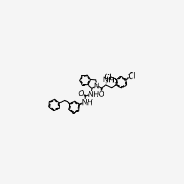 N[C@H](Cc1ccc(Cl)cc1Cl)C(=O)N1Cc2ccccc2C1NC(=O)Nc1cccc(Cc2ccccc2)c1